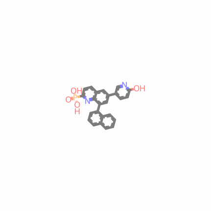 O=P(O)(O)c1ccc2cc(-c3ccc(O)nc3)cc(-c3cccc4ccccc34)c2n1